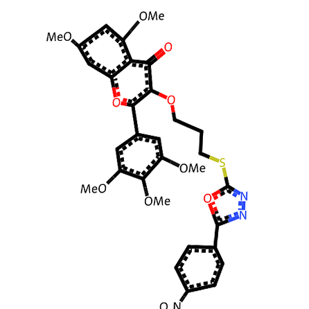 COc1cc(OC)c2c(=O)c(OCCCSc3nnc(-c4ccc([N+](=O)[O-])cc4)o3)c(-c3cc(OC)c(OC)c(OC)c3)oc2c1